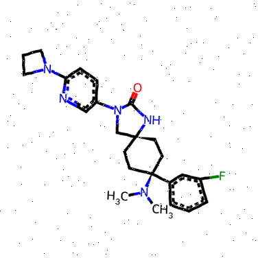 CN(C)[C@]1(c2cccc(F)c2)CC[C@@]2(CC1)CN(c1ccc(N3CCC3)nc1)C(=O)N2